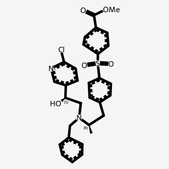 COC(=O)c1ccc(S(=O)(=O)c2ccc(C[C@@H](C)N(Cc3ccccc3)C[C@@H](O)c3ccc(Cl)nc3)cc2)cc1